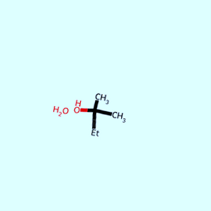 CCC(C)(C)O.O